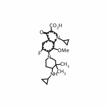 COc1c(N2CCC(NC3CC3)C(C)(C)C2)c(F)cc2c(=O)c(C(=O)O)cn(C3CC3)c12